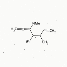 C=C=C(NC)C(C(C)C)C(C)C=C